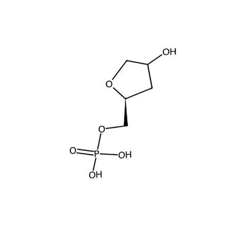 O=P(O)(O)OC[C@@H]1CC(O)CO1